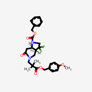 COc1ccc(COC(=O)C(C)(C)CN2C[C@H]3[C@@H](CC2=O)N(C(=O)OCc2ccccc2)CC3(F)F)cc1